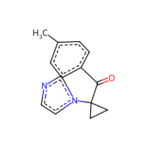 Cc1ccc(C(=O)C2(n3ccnc3)CC2)cc1